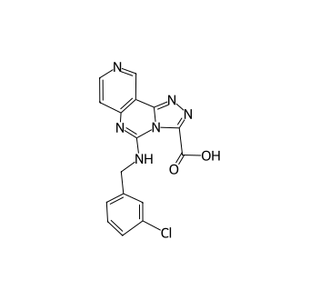 O=C(O)c1nnc2c3cnccc3nc(NCc3cccc(Cl)c3)n12